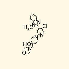 Cn1c(-c2cc(N3CCC(O)(CN4CCOCC4)CC3)ncc2Cl)nc2ccccc21